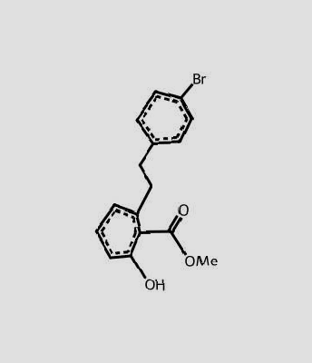 COC(=O)c1c(O)cccc1CCc1ccc(Br)cc1